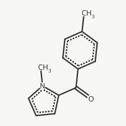 Cc1ccc(C(=O)c2cccn2C)cc1